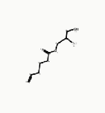 C=CCCCC(=O)OCC(O)CO